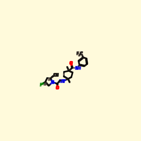 CC1(NCC(=O)N2C[C@@H](F)C[C@H]2C#N)CCC(C)(C(=O)Nc2cccc(C(F)(F)F)c2)CC1